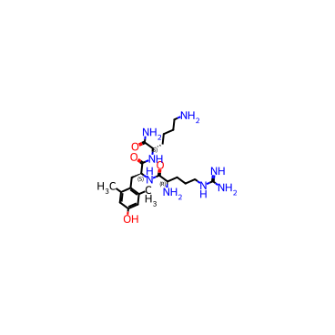 Cc1cc(O)cc(C)c1C[C@H](NC(=O)[C@H](N)CCCNC(=N)N)C(=O)N[C@@H](CCCCN)C(N)=O